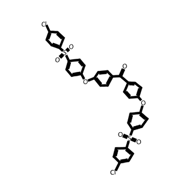 O=C(c1ccc(Oc2ccc(S(=O)(=O)c3ccc(Cl)cc3)cc2)cc1)c1ccc(Oc2ccc(S(=O)(=O)c3ccc(Cl)cc3)cc2)cc1